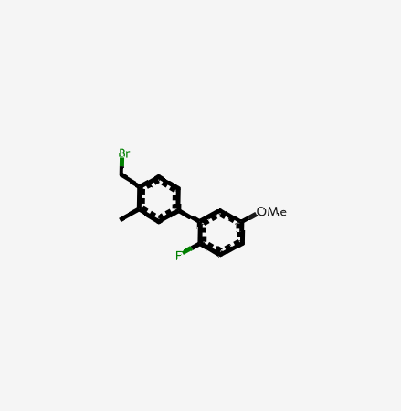 COc1ccc(F)c(-c2ccc(CBr)c(C)c2)c1